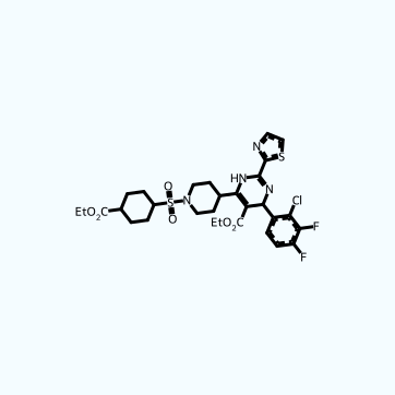 CCOC(=O)C1=C(C2CCN(S(=O)(=O)C3CCC(C(=O)OCC)CC3)CC2)NC(c2nccs2)=NC1c1ccc(F)c(F)c1Cl